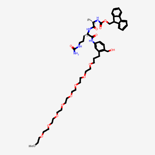 COCCOCCOCCOCCOCCOCCOCCOCCOCCCc1cc(NC(=O)[C@H](CCCNC(N)=O)NC(=O)[C@@H](NC(=O)OCC2c3ccccc3-c3ccccc32)C(C)C)ccc1CO